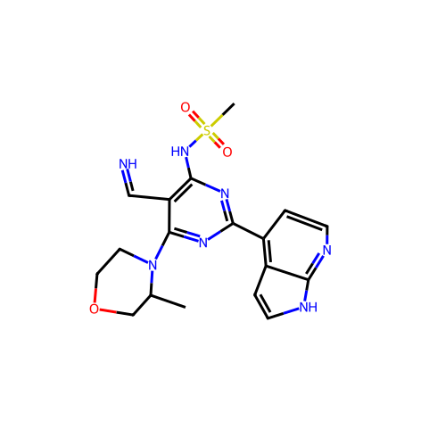 CC1COCCN1c1nc(-c2ccnc3[nH]ccc23)nc(NS(C)(=O)=O)c1C=N